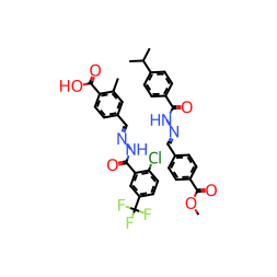 COC(=O)c1ccc(C=NNC(=O)c2ccc(C(C)C)cc2)cc1.Cc1cc(C=NNC(=O)c2cc(C(F)(F)F)ccc2Cl)ccc1C(=O)O